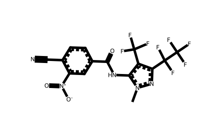 Cn1nc(C(F)(F)C(F)(F)F)c(C(F)(F)F)c1NC(=O)c1ccc(C#N)c([N+](=O)[O-])c1